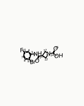 O=C(Nc1cc(F)ccc1Br)C1CN(C(=O)O)C1